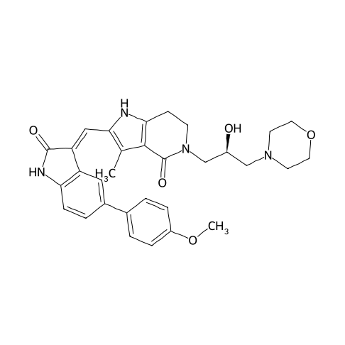 COc1ccc(-c2ccc3c(c2)C(=Cc2[nH]c4c(c2C)C(=O)N(C[C@@H](O)CN2CCOCC2)CC4)C(=O)N3)cc1